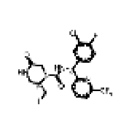 O=C1CN(C(=O)N[C@H](c2ccc(F)c(Cl)c2)c2cccc(C(F)(F)F)n2)[C@@H](CF)CN1